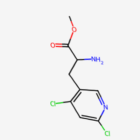 COC(=O)C(N)Cc1cnc(Cl)cc1Cl